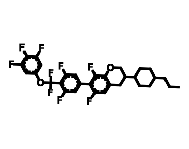 CCCC1CCC(C2COc3c(cc(F)c(-c4cc(F)c(C(F)(F)Oc5cc(F)c(F)c(F)c5)c(F)c4)c3F)C2)CC1